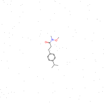 CON(C)C(=O)CCc1ccc(C(C)C)cc1